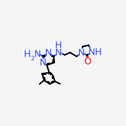 Cc1cc(C)cc(-c2cc(NCCCN3CCNC3=O)nc(N)n2)c1